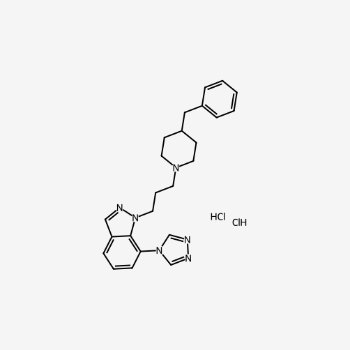 Cl.Cl.c1ccc(CC2CCN(CCCn3ncc4cccc(-n5cnnc5)c43)CC2)cc1